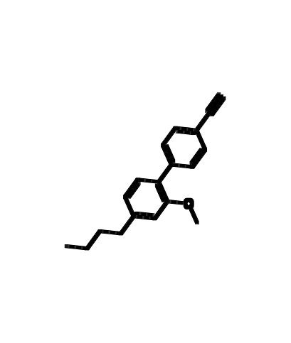 C#Cc1ccc(-c2ccc(CCCC)cc2OC)cc1